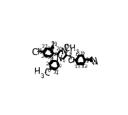 Cc1ccc(N2C[C@H](COc3ccc(C#N)cc3)N(C)C[C@@H]2c2ccc(Cl)cc2I)cc1